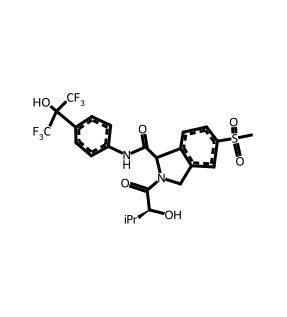 CC(C)[C@H](O)C(=O)N1Cc2cc(S(C)(=O)=O)ccc2C1C(=O)Nc1ccc(C(O)(C(F)(F)F)C(F)(F)F)cc1